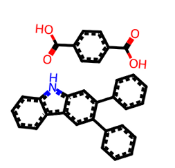 O=C(O)c1ccc(C(=O)O)cc1.c1ccc(-c2cc3[nH]c4ccccc4c3cc2-c2ccccc2)cc1